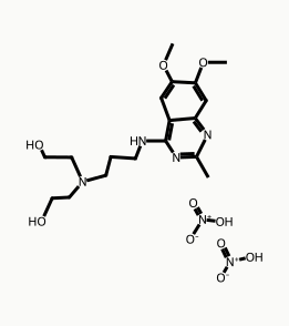 COc1cc2nc(C)nc(NCCCN(CCO)CCO)c2cc1OC.O=[N+]([O-])O.O=[N+]([O-])O